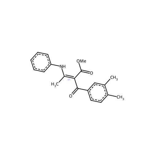 COC(=O)/C(C(=O)c1ccc(C)c(C)c1)=C(/C)Nc1ccccc1